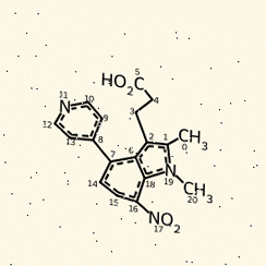 Cc1c(CCC(=O)O)c2c(-c3ccncc3)ccc([N+](=O)[O-])c2n1C